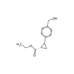 CCOC(=O)[C@H]1CC1c1ccc(CO)cc1